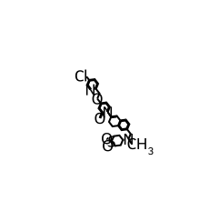 CN(Cc1ccc2c(c1)CCC(n1ccc(OCc3ccc(Cl)cn3)cc1=O)=C2)C1CCS(=O)(=O)CC1